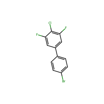 Fc1cc(-c2ccc(Br)cc2)cc(F)c1Cl